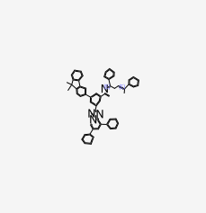 C=C(/N=C(\C/C=C(\C)c1ccccc1)c1ccccc1)c1cc(-c2ccc3c(c2)-c2ccccc2C3(C)C)cc(-c2nc3c(-c4ccccc4)cc(-c4ccccc4)cn3n2)c1